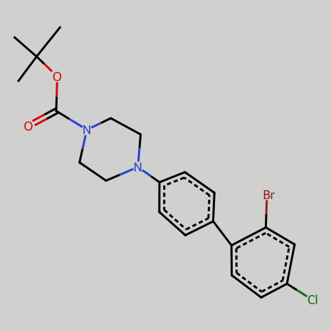 CC(C)(C)OC(=O)N1CCN(c2ccc(-c3ccc(Cl)cc3Br)cc2)CC1